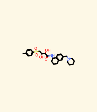 Cc1ccc(S(=O)(=O)C[C@@H](O)[C@@H](O)C(=O)N[C@@H]2CCCc3cc(CN4CCCCC4)ccc32)cc1